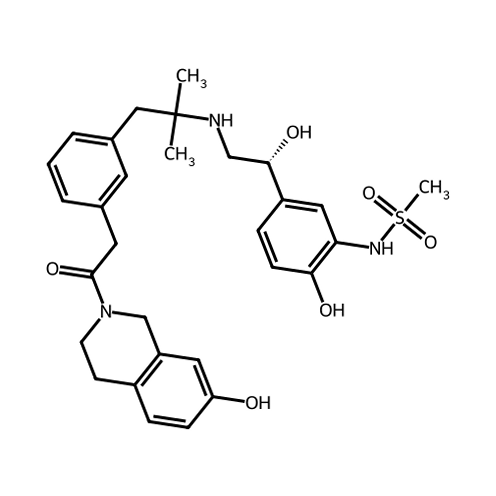 CC(C)(Cc1cccc(CC(=O)N2CCc3ccc(O)cc3C2)c1)NC[C@H](O)c1ccc(O)c(NS(C)(=O)=O)c1